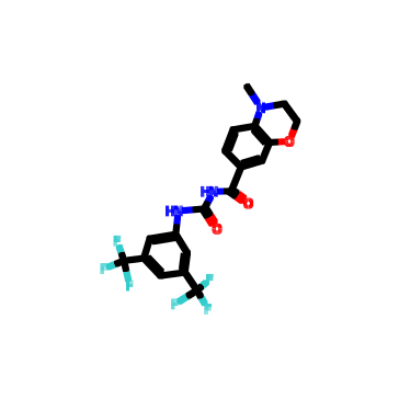 CN1CCOc2cc(C(=O)NC(=O)Nc3cc(C(F)(F)F)cc(C(F)(F)F)c3)ccc21